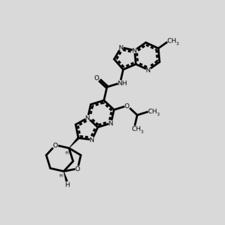 Cc1cnc2c(NC(=O)c3cn4cc([C@]56CO[C@H](CCO5)C6)nc4nc3OC(C)C)cnn2c1